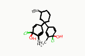 CC1=CC(C2(C3C=CC(O)(Cl)C(C)=C3)CCCC(C(C)(C)C)C2)C=CC1(O)Cl